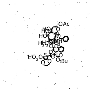 CC(=O)OC[C@H]1C[C@H](O)[C@@]2(C)C(=O)[C@H](O)C3=C(C)[C@@H](OC(=O)[C@H](OC(=O)c4sc(C(=O)O)c5c4OCCCO5)C(NC(=O)OC(C)(C)C)c4ccccc4)C[C@@](O)([C@@H](OC(=O)c4ccccc4)[C@@H]2CO1)C3(C)C